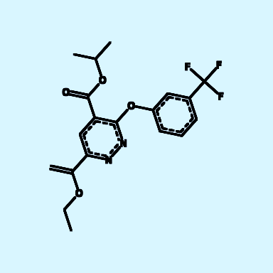 C=C(OCC)c1cc(C(=O)OC(C)C)c(Oc2cccc(C(F)(F)F)c2)nn1